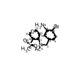 CC(=O)N(Cc1ccc(Br)c(N)c1)c1ccccc1S(C)(=O)=O